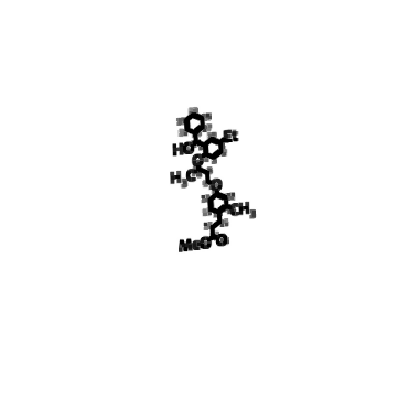 CCc1ccc(O[C@H](C)CCOc2ccc(CCC(=O)OC)c(C)c2)c(C(O)c2ccccc2)c1